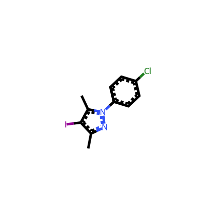 Cc1nn(-c2ccc(Cl)cc2)c(C)c1I